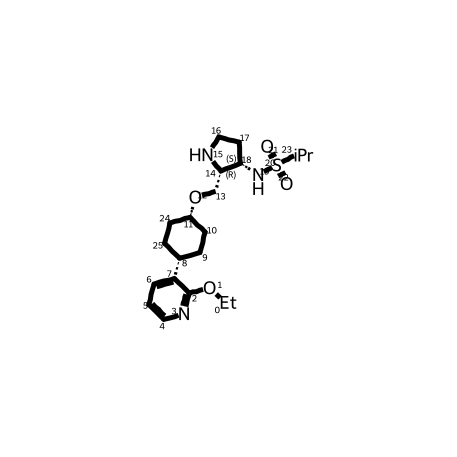 CCOc1ncccc1[C@H]1CC[C@@H](OC[C@@H]2NCC[C@@H]2NS(=O)(=O)C(C)C)CC1